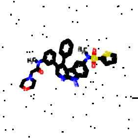 CN(C(=O)CN1CCOCC1)c1cccc(-c2cnc3[nH]c4ccc(N(C)S(=O)(=O)c5cccs5)cc4c3c2-c2ccccc2)c1